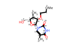 COCCO[C@@H]1[C@H](C)[C@@H](CO)O[C@H]1n1cc(C)c(=O)[nH]c1=O